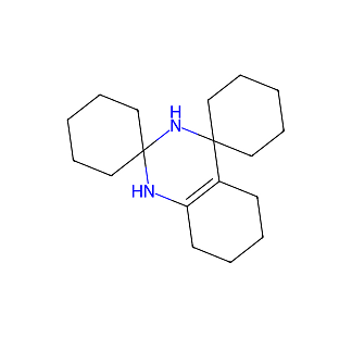 C1CCC2(CC1)NC1=C(CCCC1)C1(CCCCC1)N2